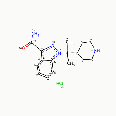 CC(C)(C1CCNCC1)n1nc(C(N)=O)c2ccccc21.Cl